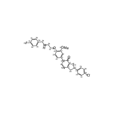 COc1cc(-n2cnc3c(c2=O)SC(c2ccc(Cl)cc2)C3)ccc1OCCNCc1ccc(F)cc1